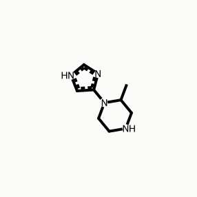 CC1CNCCN1c1c[nH]cn1